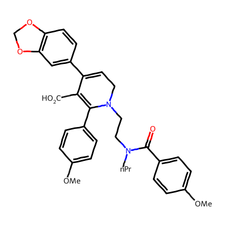 CCCN(CCN1CC=C(c2ccc3c(c2)OCO3)C(C(=O)O)=C1c1ccc(OC)cc1)C(=O)c1ccc(OC)cc1